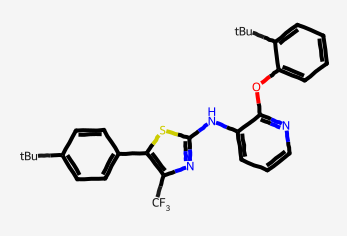 CC(C)(C)c1ccc(-c2sc(Nc3cccnc3Oc3ccccc3C(C)(C)C)nc2C(F)(F)F)cc1